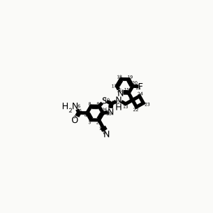 N#Cc1cc(C(N)=O)cc2sc(NCC3(c4ncccc4F)CCC3)nc12